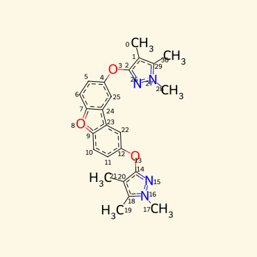 Cc1c(Oc2ccc3oc4ccc(Oc5nn(C)c(C)c5C)cc4c3c2)nn(C)c1C